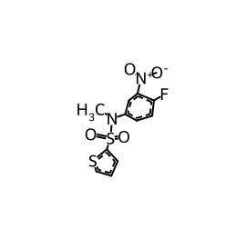 CN(c1ccc(F)c([N+](=O)[O-])c1)S(=O)(=O)c1cccs1